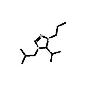 CCCN1N=CN(CC(C)C)C1C(C)C